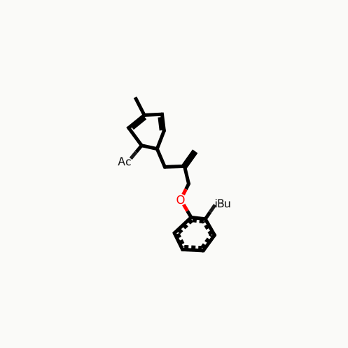 C=C(COc1ccccc1C(C)CC)CC1C=CC(C)=CC1C(C)=O